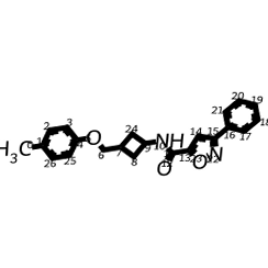 Cc1ccc(OCC2CC(NC(=O)c3cc(-c4ccccc4)no3)C2)cc1